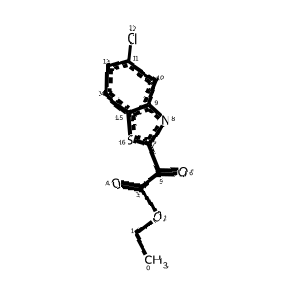 CCOC(=O)C(=O)c1nc2cc(Cl)ccc2s1